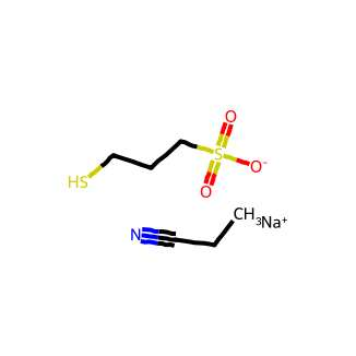 CCC#N.O=S(=O)([O-])CCCS.[Na+]